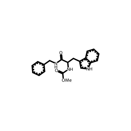 COC(=O)NC(Cc1c[nH]c2ccccc12)C(=O)NCc1ccccc1